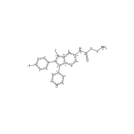 Cn1c(-c2ccc(F)cc2)c(-c2ccncc2)c2ccc(NC(=O)CCN)nc21